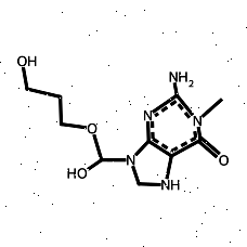 Cn1c(N)nc2c(c1=O)NCN2C(O)OCCCO